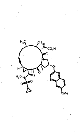 COc1ccc2nc(O[C@@H]3C[C@H]4C(=O)N[C@]5(C(=O)N(C)S(=O)(=O)C6CC6)C[C@H]5C=CCC[C@@H](C)C[C@@H](C)[C@H](NC(=O)O)C(=O)N4C3)cnc2c1